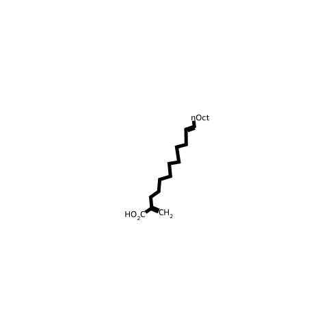 C=C(CCCCCCCCC=CCCCCCCCC)C(=O)O